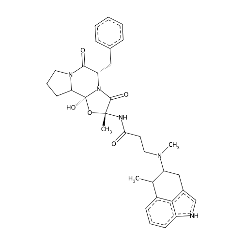 CC1c2cccc3[nH]cc(c23)CC1N(C)CCC(=O)N[C@]1(C)O[C@@]2(O)C3CCCN3C(=O)[C@H](Cc3ccccc3)N2C1=O